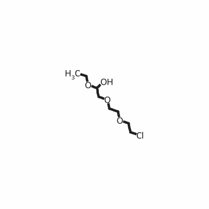 CCOC(O)COCCOCCCl